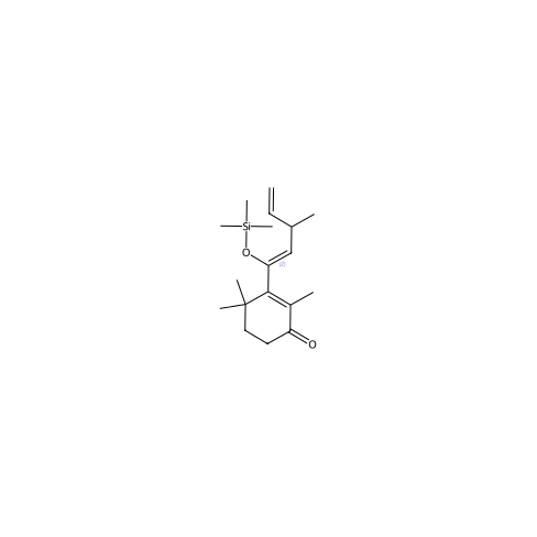 C=CC(C)/C=C(\O[Si](C)(C)C)C1=C(C)C(=O)CCC1(C)C